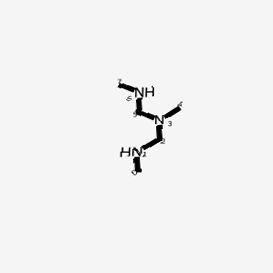 CNCN(C)CNC